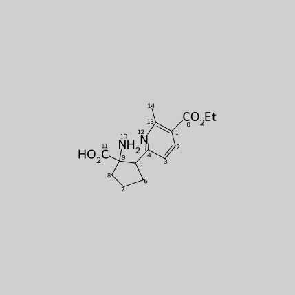 CCOC(=O)c1ccc(C2CCCC2(N)C(=O)O)nc1C